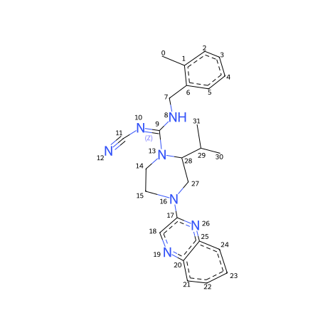 Cc1ccccc1CN/C(=N/C#N)N1CCN(c2cnc3ccccc3n2)CC1C(C)C